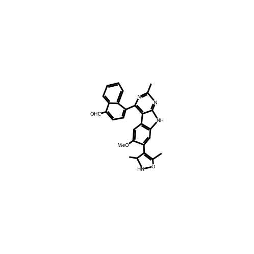 COc1cc2c(cc1C1=C(C)ONC1C)[nH]c1nc(C)nc(-c3ccc(C=O)c4ccccc34)c12